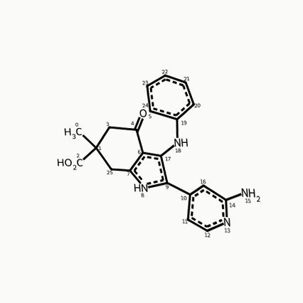 CC1(C(=O)O)CC(=O)c2c([nH]c(-c3ccnc(N)c3)c2Nc2ccccc2)C1